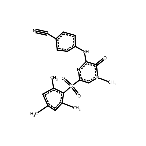 Cc1cc(C)c(S(=O)(=O)c2cn(C)c(=O)c(Nc3ccc(C#N)cc3)n2)c(C)c1